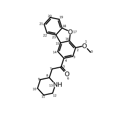 COc1cc(C(=O)CC2CCCCN2)cc2c1oc1ccccc12